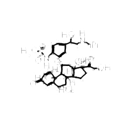 CC(C)NCC(O)c1ccc(NS(C)(=O)=O)cc1.C[C@]12C=CC(=O)C=C1CC[C@@H]1[C@@H]2C(=O)C[C@@]2(C)[C@H]1CC[C@]2(O)C(=O)CO.Cl